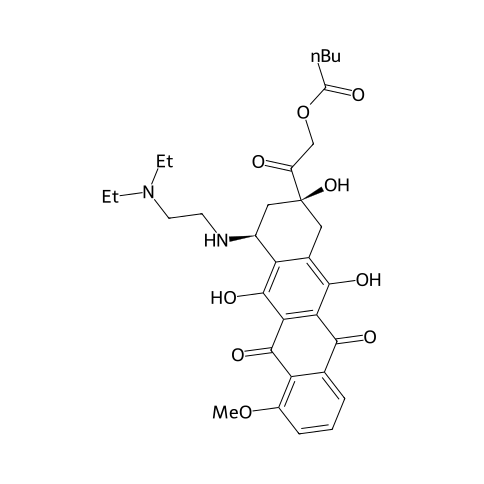 CCCCC(=O)OCC(=O)[C@]1(O)Cc2c(O)c3c(c(O)c2[C@@H](NCCN(CC)CC)C1)C(=O)c1c(OC)cccc1C3=O